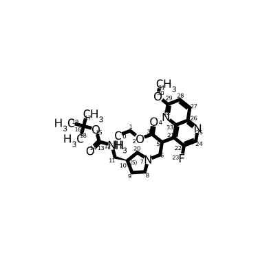 CCOC(=O)C(CN1CC[C@@H](CNC(=O)OC(C)(C)C)C1)c1c(F)cnc2ccc(OC)nc12